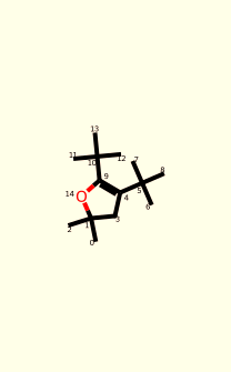 CC1(C)CC(C(C)(C)C)=C(C(C)(C)C)O1